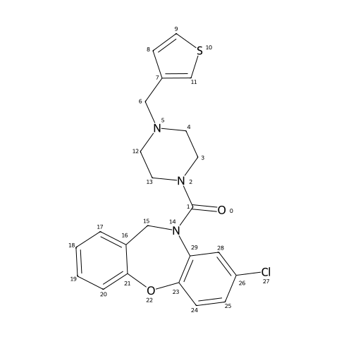 O=C(N1CCN(Cc2ccsc2)CC1)N1Cc2ccccc2Oc2ccc(Cl)cc21